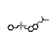 O=C(O)COc1ccc2ccc(CNS(=O)(=O)C=Cc3ccccc3)cc2c1